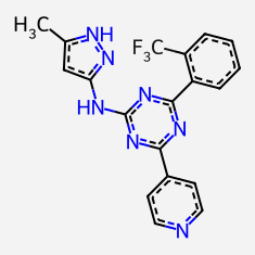 Cc1cc(Nc2nc(-c3ccncc3)nc(-c3ccccc3C(F)(F)F)n2)n[nH]1